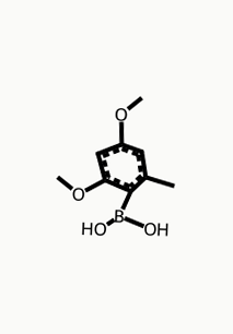 COc1cc(C)c(B(O)O)c(OC)c1